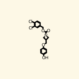 O=C(OCc1ccc(Cl)c(Cl)c1)N1CC(COc2ccc(O)cc2)C1